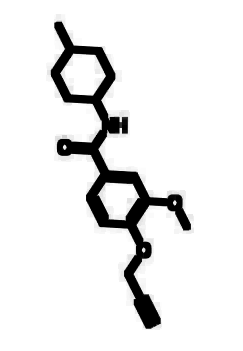 C#CCOc1ccc(C(=O)NC2CCC(C)CC2)cc1OC